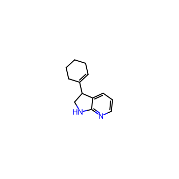 C1=C(C2CNc3ncccc32)CCCC1